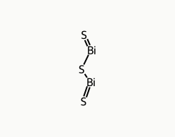 [S]=[Bi][S][Bi]=[S]